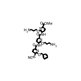 COC(=O)c1ccc(NC(=O)c2ccc(NC(=O)c3ccc(SC#N)c(OCc4ccccc4)n3)c(OCCCN)n2)c(OCCCN)n1